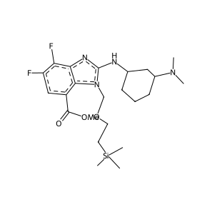 COC(=O)c1cc(F)c(F)c2nc(NC3CCCC(N(C)C)C3)n(COCC[Si](C)(C)C)c12